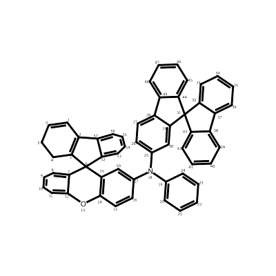 C1=CC2=C(CC1)C1(c3ccccc3Oc3ccc(N(c4ccccc4)c4ccc5c(c4)C4(c6ccccc6-c6ccccc64)c4ccccc4-5)cc31)c1ccccc12